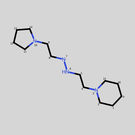 C1CCN(CCN[N]CCN2CCCC2)CC1